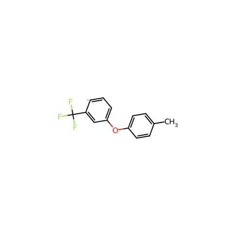 Cc1ccc(Oc2cc[c]c(C(F)(F)F)c2)cc1